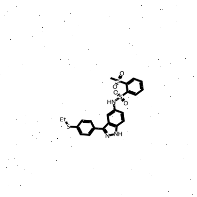 CCSc1ccc(-c2n[nH]c3ccc(NS(=O)(=O)c4ccccc4S(C)(=O)=O)cc23)cc1